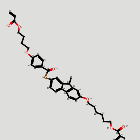 C=CC(=O)OCCCCOc1ccc(C(=O)Sc2ccc3c(c2)C(C)c2cc(OCCCCCCOC(=O)C(=C)C)ccc2-3)cc1